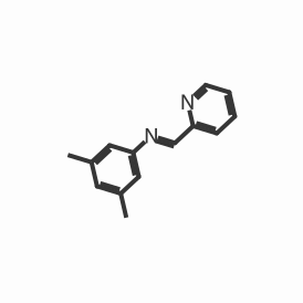 Cc1cc(C)cc(N=Cc2ccccn2)c1